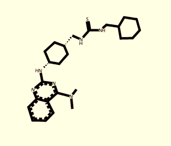 CN(C)c1nc(N[C@H]2CC[C@@H](CNC(=S)NCC3CCCCC3)CC2)nc2ccccc12